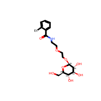 CCc1ccccc1C(=O)NCCOCCO[C@@H]1O[C@H](CO)[C@@H](O)[C@H](O)[C@H]1O